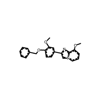 COc1cc(-c2cn3cccc(OC)c3n2)ccc1OCc1ccccc1